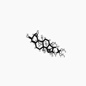 CC(=O)[C@@]12OC(C)(C)O[C@@H]1C[C@H]1[C@@H]3CCC4=CC(=O)C5OC5[C@]4(C)[C@H]3CC[C@@]12C